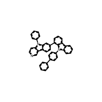 c1ccc(-c2ccc(-n3c4ccccc4c4cccc(-c5ccc6c7cnccc7n(-c7ccccc7)c6c5)c43)cc2)cc1